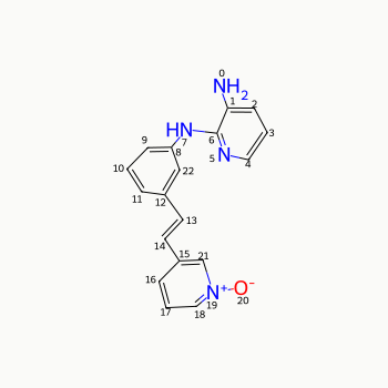 Nc1cccnc1Nc1cccc(C=Cc2ccc[n+]([O-])c2)c1